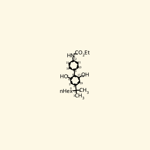 CCCCCCC(C)(C)c1cc(O)c(-c2ccc(NC(=O)OCC)cc2)c(O)c1